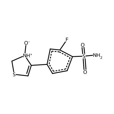 NS(=O)(=O)c1ccc(C2=CSC[NH+]2[O-])cc1F